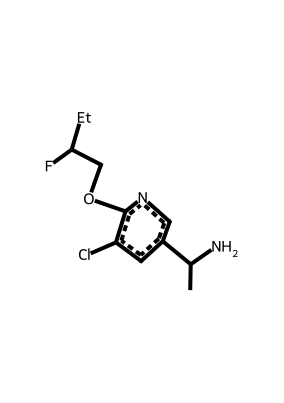 CCC(F)COc1ncc(C(C)N)cc1Cl